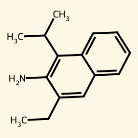 CCc1cc2ccccc2c(C(C)C)c1N